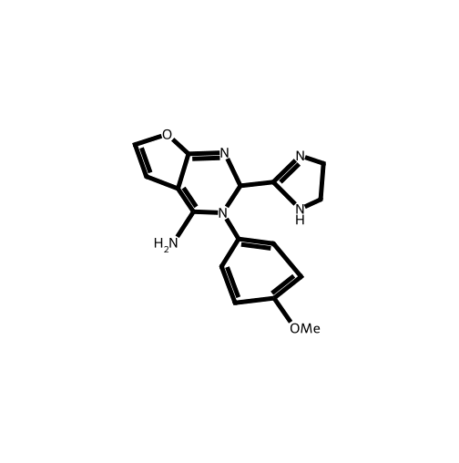 COc1ccc(N2C(N)=c3ccoc3=NC2C2=NCCN2)cc1